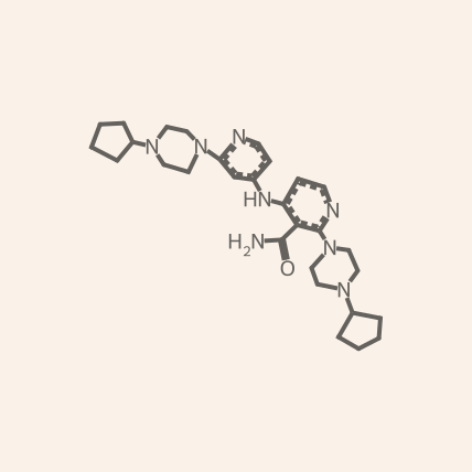 NC(=O)c1c(Nc2ccnc(N3CCN(C4CCCC4)CC3)c2)ccnc1N1CCN(C2CCCC2)CC1